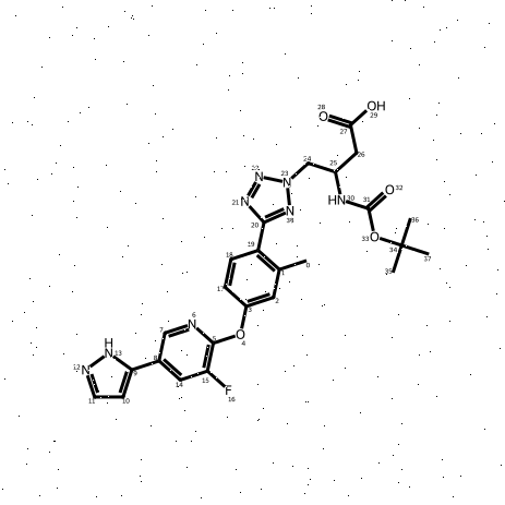 Cc1cc(Oc2ncc(-c3ccn[nH]3)cc2F)ccc1-c1nnn(CC(CC(=O)O)NC(=O)OC(C)(C)C)n1